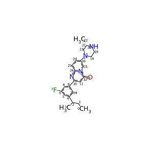 CCC(C)c1cc(F)cc(-c2cc(=O)n3cc(N4CCN[C@@H](C)C4)ccc3n2)c1